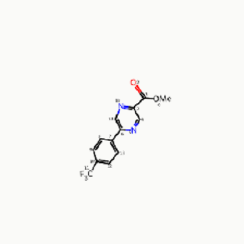 COC(=O)c1cnc(-c2ccc(C(F)(F)F)cc2)cn1